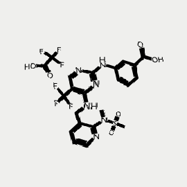 CN(c1ncccc1CNc1nc(Nc2cccc(C(=O)O)c2)ncc1C(F)(F)F)S(C)(=O)=O.O=C(O)C(F)(F)F